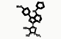 COc1ccc(-c2nn([C@@H]3O[C@H](C)[C@@H](O)[C@H]3O)c3ncnc(Nc4ccncc4)c23)cc1